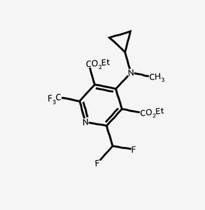 CCOC(=O)c1c(C(F)F)nc(C(F)(F)F)c(C(=O)OCC)c1N(C)C1CC1